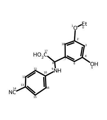 CCOc1cc(O)cc(C(Nc2ccc(C#N)cc2)C(=O)O)c1